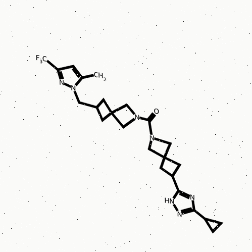 Cc1cc(C(F)(F)F)nn1CC1CC2(C1)CN(C(=O)N1CC3(CC(c4nc(C5CC5)n[nH]4)C3)C1)C2